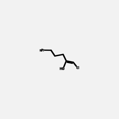 CCCCCCC(O)=CCl